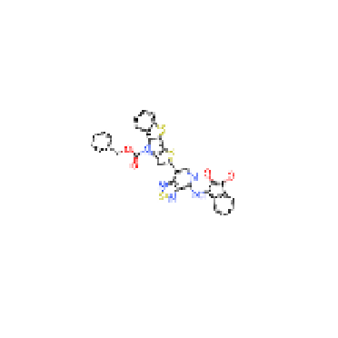 O=C(OCc1ccccc1)n1c2cc(-c3cnc(/N=c4\c(=O)c(=O)c5ccccc45)c4nsnc34)sc2c2sc3ccccc3c21